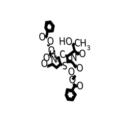 CC(O)C1C(=O)N2C(C(=O)OCOC(=O)c3ccccc3)=C(SC3CC(C=O)N(C(=O)OCOC(=O)c4ccccc4)C3)C(C)C12